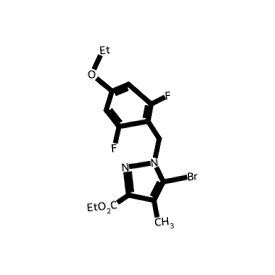 CCOC(=O)c1nn(Cc2c(F)cc(OCC)cc2F)c(Br)c1C